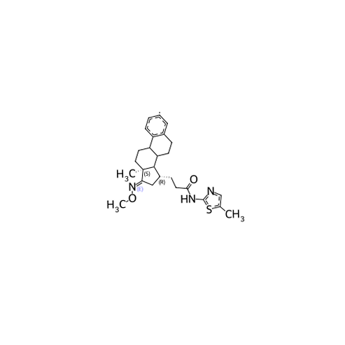 CO/N=C1\C[C@@H](CCC(=O)Nc2ncc(C)s2)C2C3CCc4c[c]ccc4C3CC[C@]12C